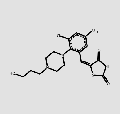 O=C1NC(=O)/C(=C\c2cc(C(F)(F)F)cc(Cl)c2N2CCN(CCCO)CC2)S1